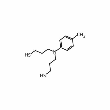 Cc1ccc(N(CCCS)CCCS)cc1